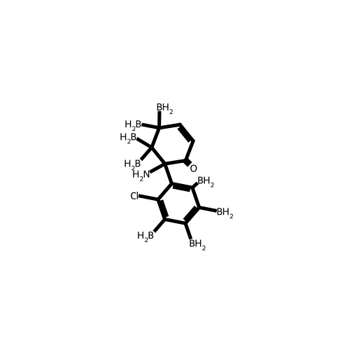 Bc1c(B)c(B)c(C2(N)C(=O)C=CC(B)(B)C2(B)B)c(Cl)c1B